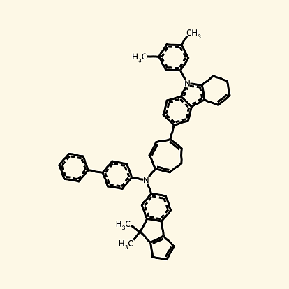 Cc1cc(C)cc(-n2c3c(c4cc(C5=CCC=C(N(c6ccc(-c7ccccc7)cc6)c6ccc7c(c6)C(C)(C)C6=C7C=CC6)C=C5)ccc42)C=CCC3)c1